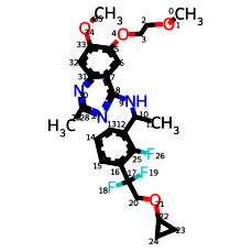 COCCOc1cc2c(NC(C)c3cccc(C(F)(F)COC4CC4)c3F)nc(C)nc2cc1OC